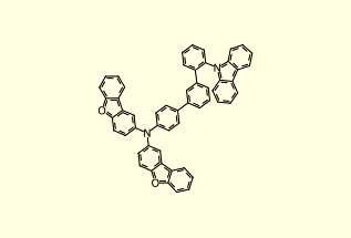 c1cc(-c2ccc(N(c3ccc4oc5ccccc5c4c3)c3ccc4oc5ccccc5c4c3)cc2)cc(-c2ccccc2-n2c3ccccc3c3ccccc32)c1